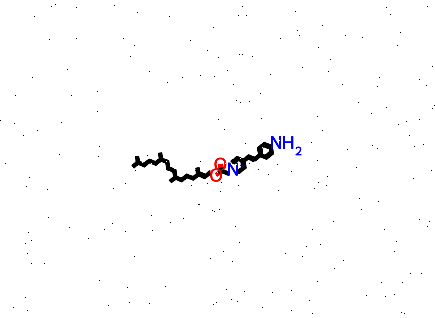 C/C(=C\COC(=O)C[n+]1ccc(/C=C/c2ccc(N)cc2)cc1)CCCC(C)CCCC(C)CCCC(C)C